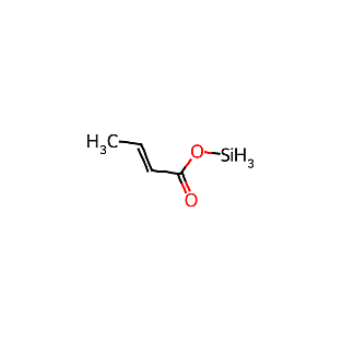 C/C=C/C(=O)O[SiH3]